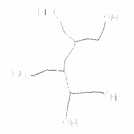 CC(O)C(C)C(C)CO